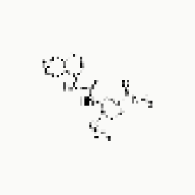 NC(=O)c1ccc(OC(F)(F)F)c(NC(=S)Nc2cccc3cnccc23)c1